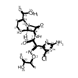 CC(O/N=C(/C(=O)NC1C(=O)N2C(C(=O)O)=CCS[C@H]12)c1nc(N)sc1Cl)C(=O)O